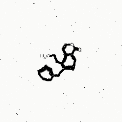 CCCc1c(Cc2ccccc2)ccc2c(=O)o[c]cc12